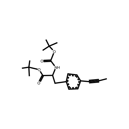 CC#Cc1ccc(CC(NC(=O)OC(C)(C)C)C(=O)OC(C)(C)C)cc1